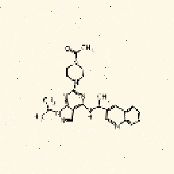 CC(=O)N1CCN(c2nc(NC(C)c3cnc4ccccc4c3)c3cnn(C(C)C)c3n2)CC1